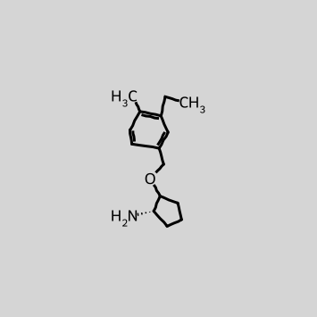 CCc1cc(COC2CCC[C@@H]2N)ccc1C